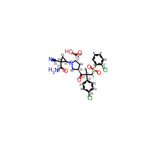 CC(CS(=O)(=O)c1ccccc1Cl)(C(=O)[C@@H]1C[C@@H](C(=O)O)N(C2CC2(C#N)C(N)=O)C1)c1ccc(Cl)cc1